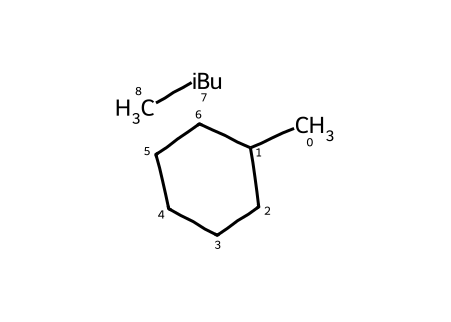 CC1CCCCC1.CCC(C)C